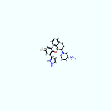 N[C@@H]1CCCN(C2CCc3ccccc3C2Oc2ccc(Br)cc2-c2cc[nH]n2)C1